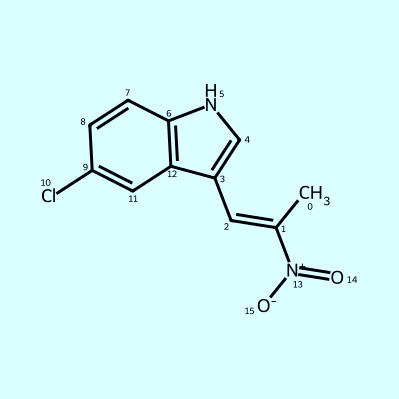 C/C(=C\c1c[nH]c2ccc(Cl)cc12)[N+](=O)[O-]